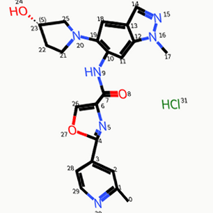 Cc1cc(-c2nc(C(=O)Nc3cc4c(cnn4C)cc3N3CC[C@H](O)C3)co2)ccn1.Cl